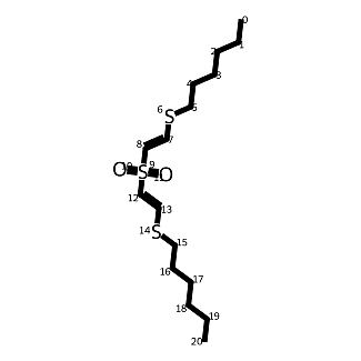 CCCCCCSC=CS(=O)(=O)C=CSCCCCCC